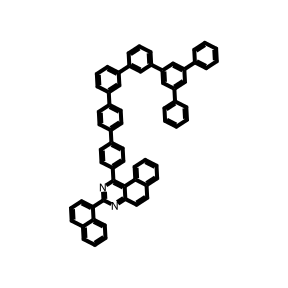 c1ccc(-c2cc(-c3ccccc3)cc(-c3cccc(-c4cccc(-c5ccc(-c6ccc(-c7nc(-c8cccc9ccccc89)nc8ccc9ccccc9c78)cc6)cc5)c4)c3)c2)cc1